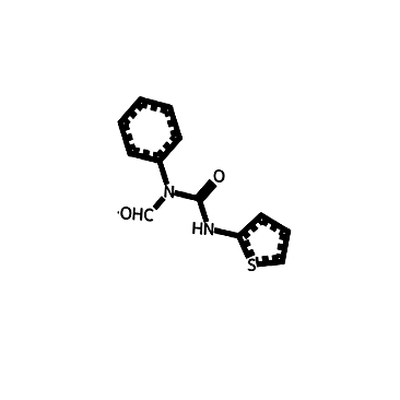 O=[C]N(C(=O)Nc1cccs1)c1ccccc1